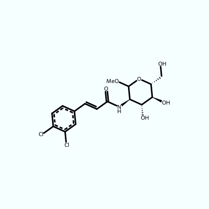 COC1O[C@H](CO)[C@@H](O)[C@H](O)[C@H]1NC(=O)/C=C/c1ccc(Cl)c(Cl)c1